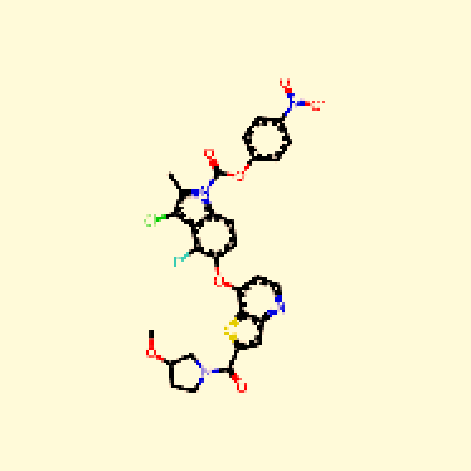 COC1CCN(C(=O)c2cc3nccc(Oc4ccc5c(c4F)c(Cl)c(C)n5C(=O)Oc4ccc([N+](=O)[O-])cc4)c3s2)C1